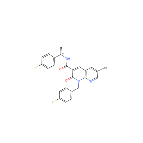 CC(C)c1cnc2c(c1)cc(C(=O)N[C@H](C)c1ccc(F)cc1)c(=O)n2Cc1ccc(F)cc1